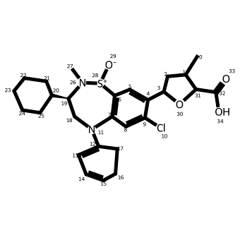 CC1CC(c2cc3c(cc2Cl)N(C2=CC=CCC2)C[C@@H](C2CCCCC2)N(C)[S+]3[O-])OC1C(=O)O